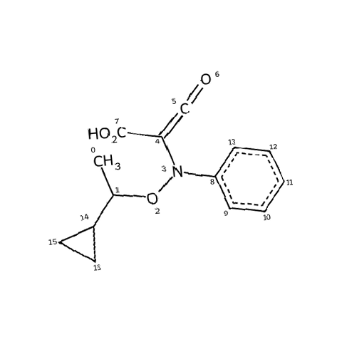 CC(ON(C(=C=O)C(=O)O)c1ccccc1)C1CC1